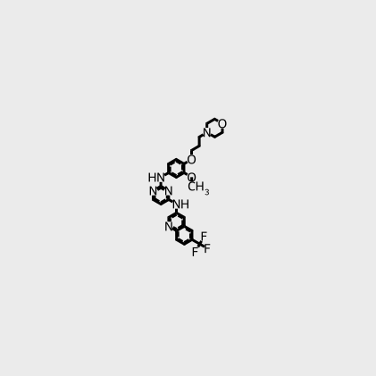 COc1cc(Nc2nccc(Nc3cnc4ccc(C(F)(F)F)cc4c3)n2)ccc1OCCCN1CCOCC1